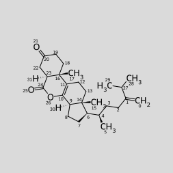 C=C(CC[C@@H](C)[C@H]1CC[C@H]2C3=C(CC[C@]12C)[C@@]1(C)CCC(=O)C[C@@H]1C(=O)O3)C(C)C